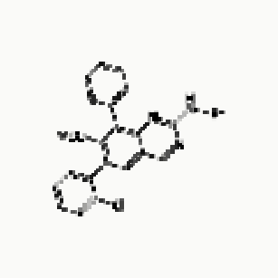 COc1c(-c2ccccc2Cl)cc2cnc(NC(C)C)nc2c1-c1ccccn1